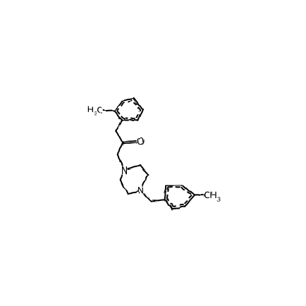 Cc1ccc(CN2CCN(CC(=O)Cc3ccccc3C)CC2)cc1